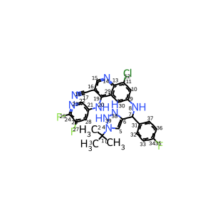 CC(C)(C)N1C=C(C(Nc2cc(Cl)c3ncc(C#N)c(Nc4cnc(F)c(F)c4)c3c2)c2ccc(F)cc2)NN1